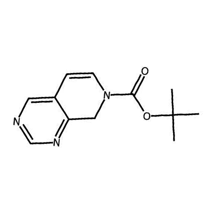 CC(C)(C)OC(=O)N1C=Cc2cncnc2C1